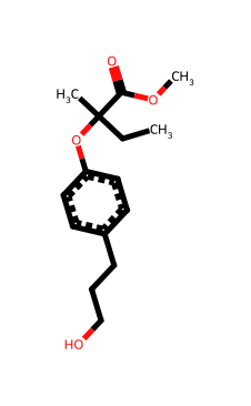 CCC(C)(Oc1ccc(CCCO)cc1)C(=O)OC